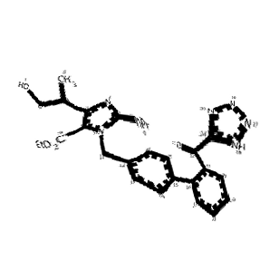 CCCc1nc(C(C)CO)c(C(=O)OCC)n1Cc1ccc(-c2ccccc2C(=O)c2nnn[nH]2)cc1